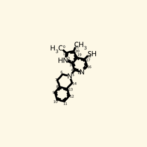 Cc1[nH]c2c(N3CCc4ccccc4C3)ncc(S)c2c1C